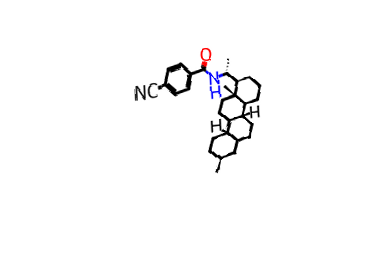 C[C@H]1CC[C@H]2C(CC[C@@H]3C2CC[C@@]2(C)C3CCC[C@@H]2[C@@H](C)NC(=O)c2ccc(C#N)cc2)C1